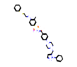 Cc1cc(S(=O)(=O)NC(=O)c2ccc(N3CCN(Cc4ccnn4C4=CCCC=C4)CC3)cc2)ccc1NCCSC1=CCCC=C1